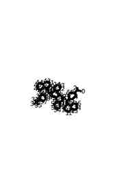 CC(C)c1ccc(N(c2cccc3ccccc23)c2cc3c4ccccc4c(N(c4ccc(C(C)(C)C)cc4)c4cccc5ccccc45)cc3c3ccccc23)cc1